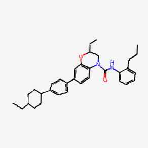 CCCc1ccccc1NC(=O)N1CC(CC)Oc2cc(-c3ccc(C4CCC(CC)CC4)cc3)ccc21